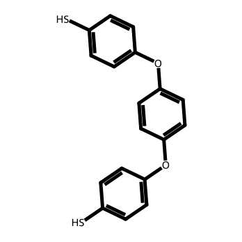 Sc1ccc(Oc2ccc(Oc3ccc(S)cc3)cc2)cc1